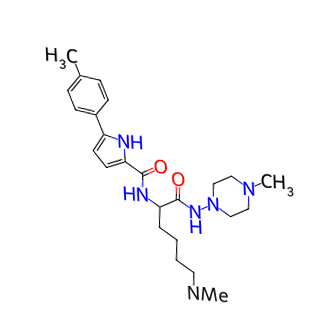 CNCCCCC(NC(=O)c1ccc(-c2ccc(C)cc2)[nH]1)C(=O)NN1CCN(C)CC1